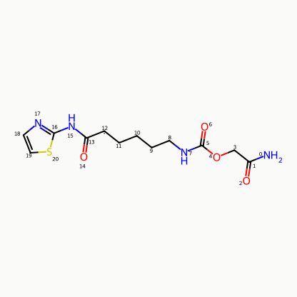 NC(=O)COC(=O)NCCCC[CH]C(=O)Nc1nccs1